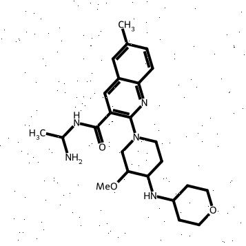 COC1CN(c2nc3ccc(C)cc3cc2C(=O)NC(C)N)CCC1NC1CCOCC1